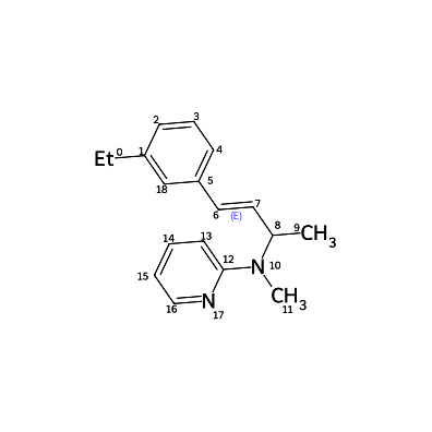 CCc1cccc(/C=C/C(C)N(C)c2ccccn2)c1